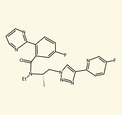 CCN(C(=O)c1cc(F)ccc1-c1ncccn1)[C@@H](C)Cn1cc(-c2ccc(F)cn2)nn1